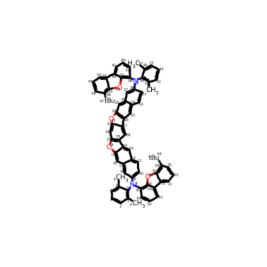 Cc1cccc(C)c1N(c1ccc2cc3c(cc2c1)oc1cc2oc4cc5cc(N(c6c(C)cccc6C)c6cccc7c6oc6c(C(C)(C)C)cccc67)ccc5cc4c2cc13)c1cccc2c1oc1c(C(C)(C)C)cccc12